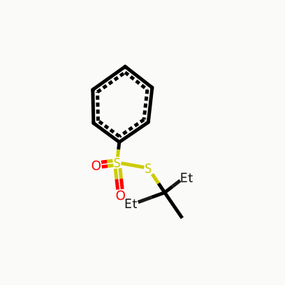 CCC(C)(CC)SS(=O)(=O)c1ccccc1